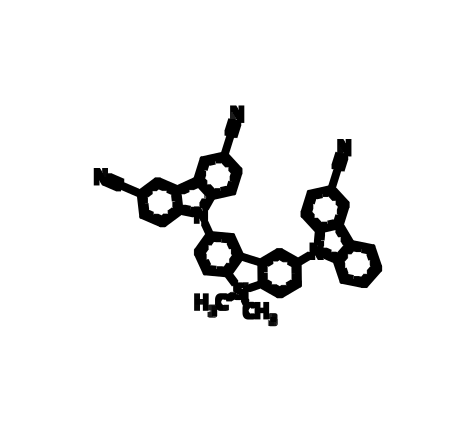 C[Si]1(C)c2ccc(-n3c4ccccc4c4cc(C#N)ccc43)cc2-c2cc(-n3c4ccc(C#N)cc4c4cc(C#N)ccc43)ccc21